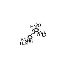 CC(=O)Nc1nc(CCc2ccc(NC(=N)N)cc2)c(C(=O)Nc2ccccc2)s1